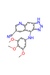 COc1cc(Nc2c3cc(C#N)cnc3cc3[nH]nnc23)cc(OC)c1OC